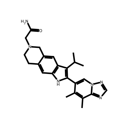 Cc1c(-c2[nH]c3cc4c(cc3c2C(C)C)CN(CC(N)=O)CC4)cn2ncnc2c1C